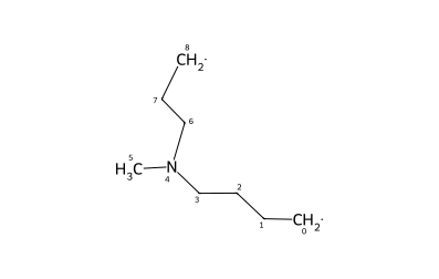 [CH2]CCCN(C)CC[CH2]